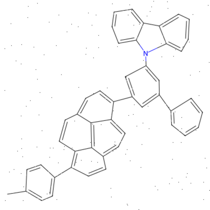 Cc1ccc(-c2ccc3ccc4c(-c5cc(-c6ccccc6)cc(-n6c7ccccc7c7ccccc76)c5)ccc5ccc2c3c54)cc1